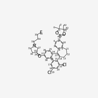 CC1(C)OB(c2ccc3c(c2)CCCC(c2ccc(Cl)cc2Cl)=C3c2ccc(O[C@H]3CCN(CCCF)C3)cc2)OC1(C)C